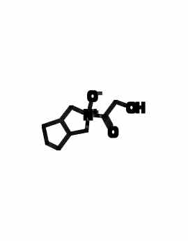 O=C(CO)[N+]1([O-])CC2CCCC2C1